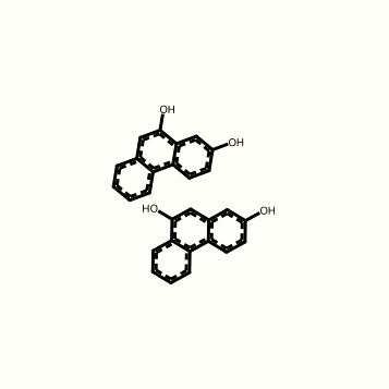 Oc1ccc2c(c1)c(O)cc1ccccc12.Oc1ccc2c(c1)cc(O)c1ccccc12